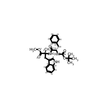 COC(=O)[C@@](C)(Cc1c[nH]c2ccccc12)NC(=O)[C@H](Cc1ccccc1)NC(=O)OC(C)(C)C